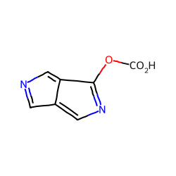 O=C(O)OC1=NC=C2C=NC=C21